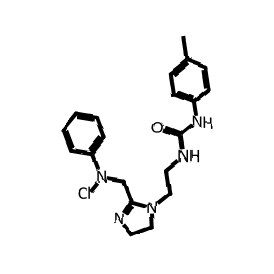 Cc1ccc(NC(=O)NCCN2CCN=C2CN(Cl)c2ccccc2)cc1